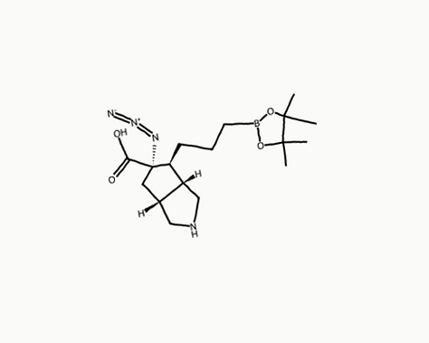 CC1(C)OB(CCC[C@H]2[C@@H]3CNC[C@@H]3C[C@@]2(N=[N+]=[N-])C(=O)O)OC1(C)C